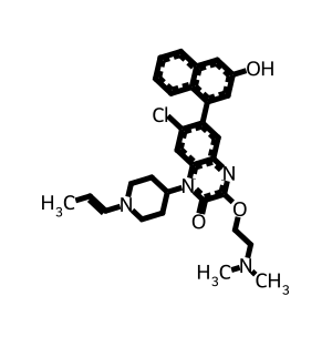 CC=CN1CCC(n2c(=O)c(OCCN(C)C)nc3cc(-c4cc(O)cc5ccccc45)c(Cl)cc32)CC1